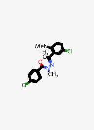 CNc1ccc(Cl)cc1/C(C)=N/N(C)C(=O)c1ccc(Cl)cc1